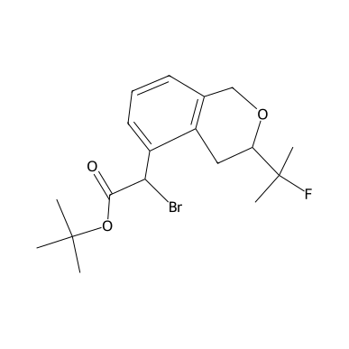 CC(C)(C)OC(=O)C(Br)c1cccc2c1CC(C(C)(C)F)OC2